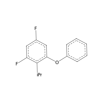 CC(C)c1c(F)cc(F)cc1Oc1ccccc1